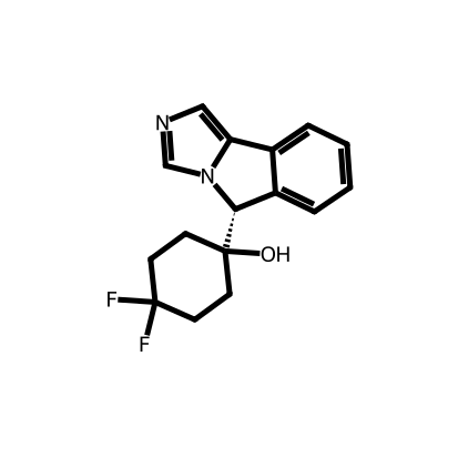 OC1([C@H]2c3ccccc3-c3cncn32)CCC(F)(F)CC1